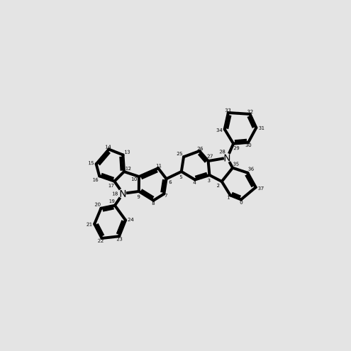 C1=CC2C3=CC(c4ccc5c(c4)c4ccccc4n5-c4ccccc4)CC=C3N(c3ccccc3)C2C=C1